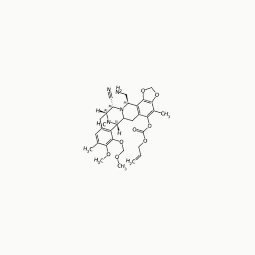 C=CCOC(=O)Oc1c(C)c2c(c3c1CC1[C@@H]4c5c(cc(C)c(OC)c5OCOC)C[C@H]([C@H](C#N)N1[C@H]3CN)N4C)OCO2